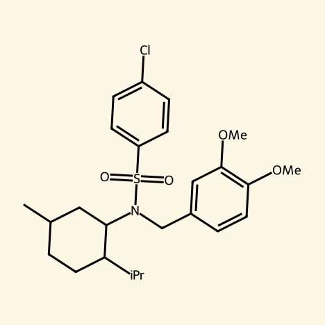 COc1ccc(CN(C2CC(C)CCC2C(C)C)S(=O)(=O)c2ccc(Cl)cc2)cc1OC